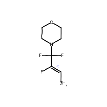 B/C=C(\F)C(F)(F)N1CCOCC1